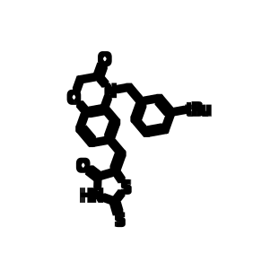 CC(C)(C)c1cccc(CN2C(=O)COc3ccc(/C=C4/SC(=S)NC4=O)cc32)c1